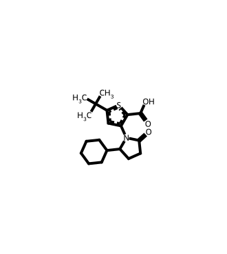 CC(C)(C)c1cc(N2C(=O)CCC2C2CCCCC2)c(C(=O)O)s1